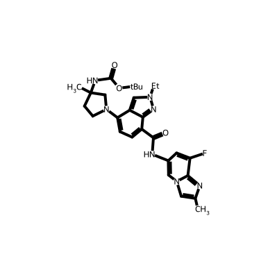 CCn1cc2c(N3CCC(C)(NC(=O)OC(C)(C)C)C3)ccc(C(=O)Nc3cc(F)c4nc(C)cn4c3)c2n1